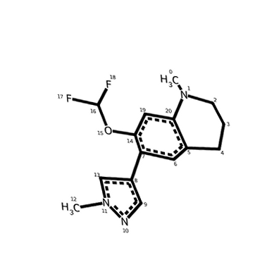 CN1CCCc2cc(-c3cnn(C)c3)c(OC(F)F)cc21